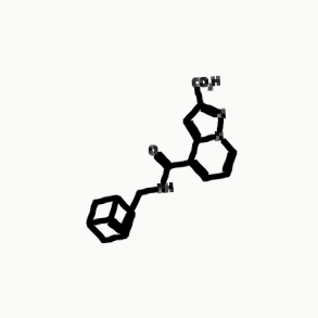 O=C(O)c1cc2c(C(=O)NCC3=C4C5CC(C3)CC4C5)cccn2n1